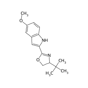 COc1ccc2[nH]c(C3=NC(C(C)(C)C)CO3)cc2c1